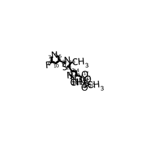 Cc1nc(-c2cncc(F)c2)sc1-c1cc(C(=O)NS(C)(=O)=O)n(C)n1